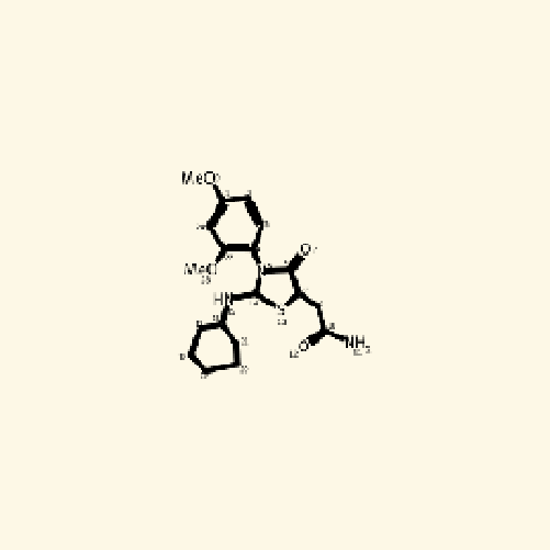 COc1ccc(N2C(=O)C(CC(N)=O)SC2NC2CCCCC2)c(OC)c1